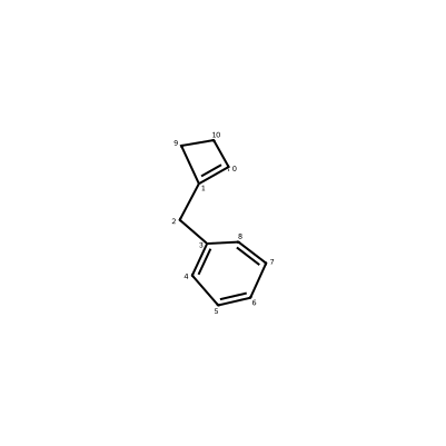 [C]1=C(Cc2ccccc2)CC1